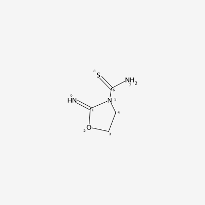 N=C1OCCN1C(N)=S